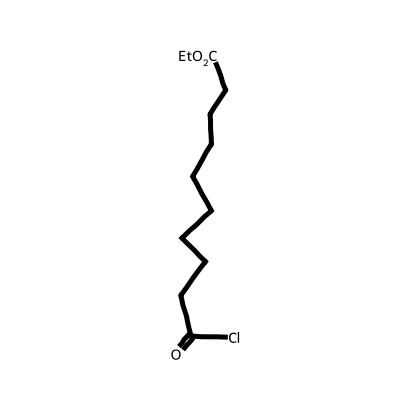 CCOC(=O)CCCCCCCCC(=O)Cl